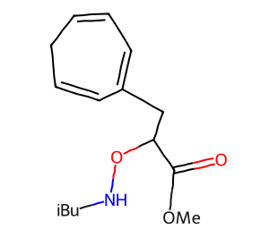 CCC(C)NOC(CC1=CC=CCC=C1)C(=O)OC